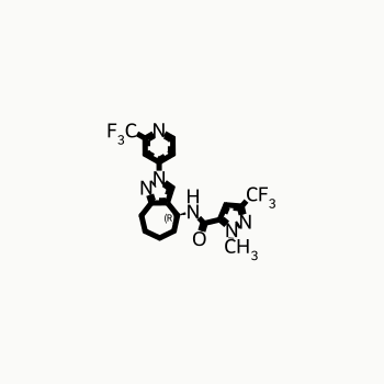 Cn1nc(C(F)(F)F)cc1C(=O)N[C@@H]1CCCCc2nn(-c3ccnc(C(F)(F)F)c3)cc21